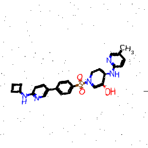 Cc1ccc(N[C@@H]2CCN(S(=O)(=O)c3ccc(-c4ccc(NC5CCC5)nc4)cc3)C[C@@H]2O)nc1